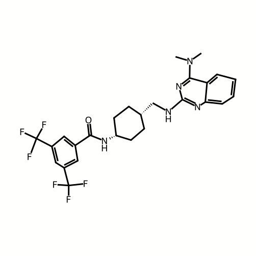 CN(C)c1nc(NC[C@H]2CC[C@@H](NC(=O)c3cc(C(F)(F)F)cc(C(F)(F)F)c3)CC2)nc2ccccc12